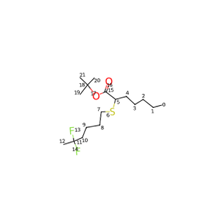 CCCCCC(SCCCCC(C)(F)F)C(=O)OC(C)(C)C